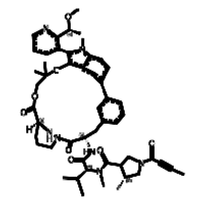 CC#CC(=O)N1CC(C(=O)N(C)[C@H](C(=O)N[C@H]2Cc3cccc(c3)-c3ccc4c(c3)c(c(-c3cccnc3[C@H](C)OC)n4C)CC(C)(C)COC(=O)[C@@H]3CCCN(N3)C2=O)C(C)C)[C@@H](C)C1